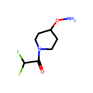 NOC1CCN(C(=O)C(F)F)CC1